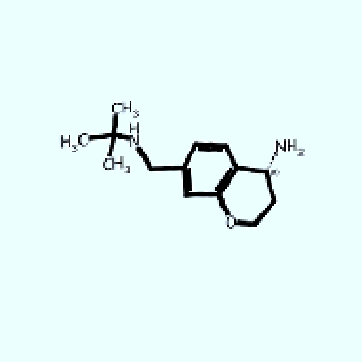 CC(C)(C)NCc1ccc2c(c1)OCC[C@H]2N